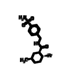 CC(C)[C@@H]1CC[C@@H](C)C[C@H]1C(=O)NCc1ccc(S(N)(=O)=O)cc1